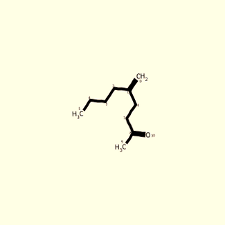 C=C(CCCC)CCC(C)=O